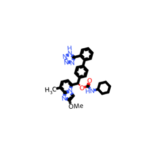 COc1cn2c([C@H](OC(=O)NC3CCCCC3)c3ccc(-c4ccccc4-c4nnn[nH]4)cc3)ccc(C)c2n1